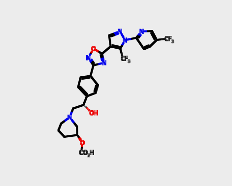 O=C(O)O[C@H]1CCCN(C[C@@H](O)c2ccc(-c3noc(-c4cnn(-c5ccc(C(F)(F)F)cn5)c4C(F)(F)F)n3)cc2)C1